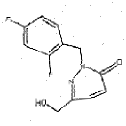 O=c1ccc(CO)nn1Cc1ccc(F)cc1F